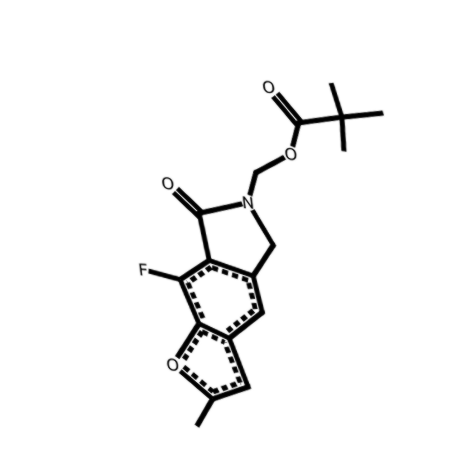 Cc1cc2cc3c(c(F)c2o1)C(=O)N(COC(=O)C(C)(C)C)C3